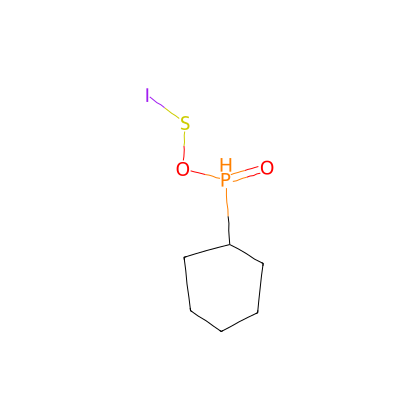 O=[PH](OSI)C1CCCCC1